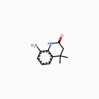 CC1(C)CC(=O)Nc2c([N+](=O)[O-])cccc21